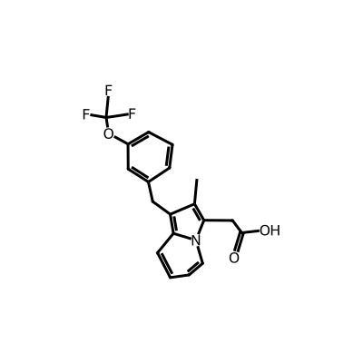 Cc1c(Cc2cccc(OC(F)(F)F)c2)c2ccccn2c1CC(=O)O